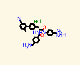 Cc1ccc(C#N)cc1-c1ccc(C[C@H](NC(=O)C2CCC(CN)CC2)C(=O)Nc2ccc(-c3nn[nH]n3)cc2)cc1.Cl